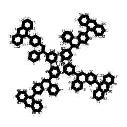 C(=C(c1ccccc1)c1cc[c]([Ge]([c]2ccc(C(=Cc3ccc(-c4c5ccccc5cc5ccccc45)cc3)c3ccccc3)cc2)([c]2ccc(C(=Cc3ccc(-c4c5ccccc5cc5ccccc45)cc3)c3ccccc3)cc2)[c]2ccc(C(=Cc3ccc(-c4c5ccccc5cc5ccccc45)cc3)c3ccccc3)cc2)cc1)c1ccc(-c2c3ccccc3cc3ccccc23)cc1